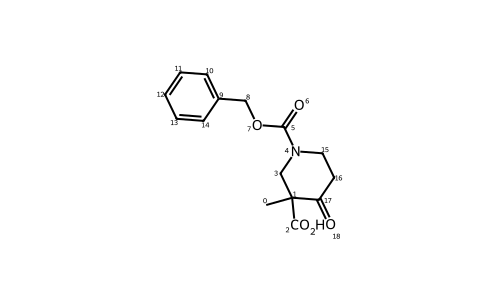 CC1(C(=O)O)CN(C(=O)OCc2ccccc2)CCC1=O